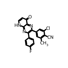 Cc1cc(-c2nc3c(=O)cc[nH]c3nc2-c2ccc(F)cc2)cc(Cl)c1C#N